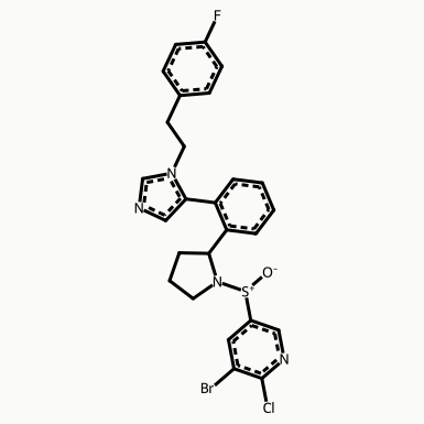 [O-][S+](c1cnc(Cl)c(Br)c1)N1CCCC1c1ccccc1-c1cncn1CCc1ccc(F)cc1